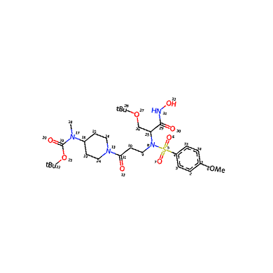 COc1ccc(S(=O)(=O)N(CCC(=O)N2CCC(N(C)C(=O)OC(C)(C)C)CC2)C(COC(C)(C)C)C(=O)NO)cc1